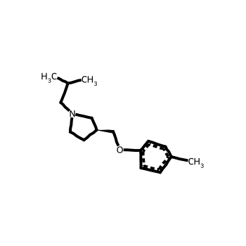 C[C](C)CN1CC[C@H](COc2ccc(C)cc2)C1